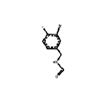 O=CNCc1ccc(F)c(Br)c1